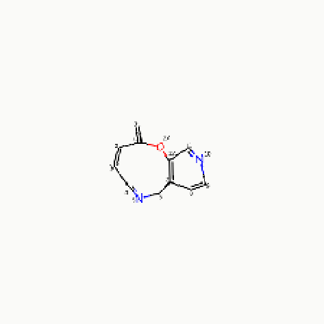 C=C1/C=C\C=N/Cc2ccncc2O1